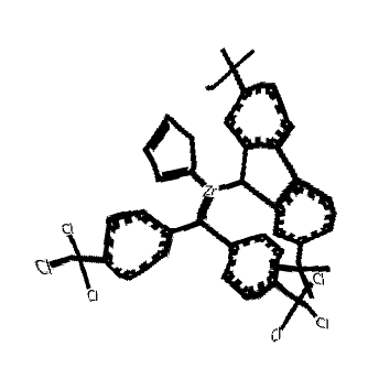 CC(C)(C)c1ccc2c(c1)[CH]([Zr]([C]1=CC=CC1)=[C](c1ccc(C(Cl)(Cl)Cl)cc1)c1ccc(C(Cl)(Cl)Cl)cc1)c1cc(C(C)(C)C)ccc1-2